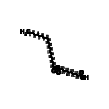 CCCCCCCC/C=C\CCCCCCCCCCCC(=O)OC(=O)CCCCCCCCC(=O)O